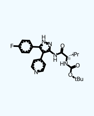 CC(C)[C@H](NC(=O)OC(C)(C)C)C(=O)Nc1n[nH]c(-c2ccc(F)cc2)c1-c1ccncc1